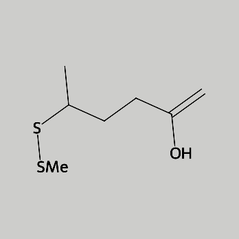 C=C(O)CCC(C)SSC